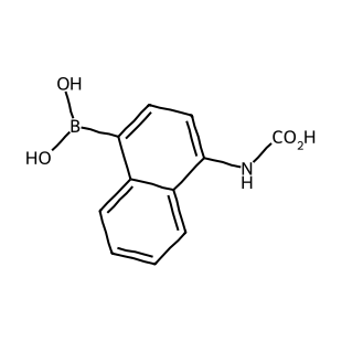 O=C(O)Nc1ccc(B(O)O)c2ccccc12